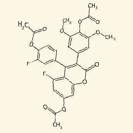 COc1cc(-c2c(-c3ccc(OC(C)=O)c(F)c3)c3c(F)cc(OC(C)=O)cc3oc2=O)cc(OC)c1OC(C)=O